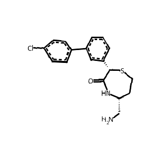 NC[C@H]1CCS[C@@H](c2cccc(-c3ccc(Cl)cc3)c2)C(=O)N1